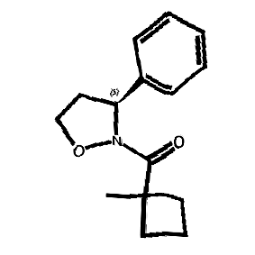 CC1(C(=O)N2OCC[C@H]2c2ccccc2)CCC1